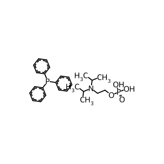 CC(C)N(CCOP(=O)(O)O)C(C)C.c1ccc(P(c2ccccc2)c2ccccc2)cc1